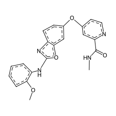 CNC(=O)c1cc(Oc2ccc3nc(Nc4ccccc4OC)oc3c2)ccn1